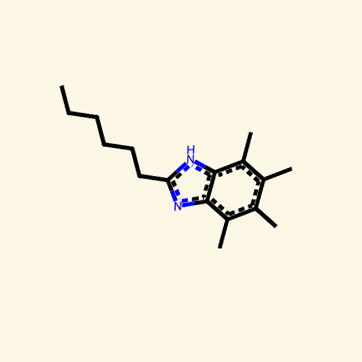 CCCCCCc1nc2c(C)c(C)c(C)c(C)c2[nH]1